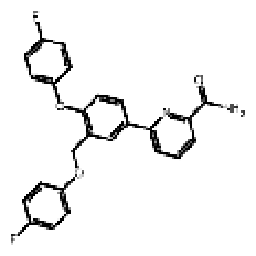 NC(=O)c1cccc(-c2ccc(Oc3ccc(F)cc3)c(COc3ccc(F)cc3)c2)n1